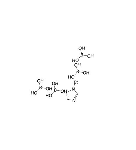 CCn1ccnc1.OB(O)O.OB(O)O.OB(O)O.OB(O)O